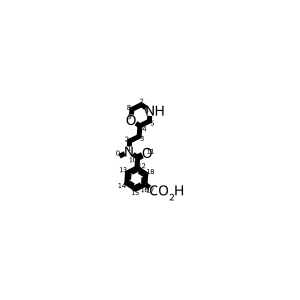 CN(CCC1CNCCO1)C(=O)c1cccc(C(=O)O)c1